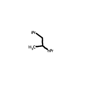 [CH2]C(C)CC(C)C[CH]C